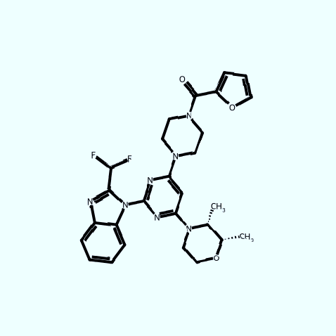 C[C@@H]1OCCN(c2cc(N3CCN(C(=O)c4ccco4)CC3)nc(-n3c(C(F)F)nc4ccccc43)n2)[C@@H]1C